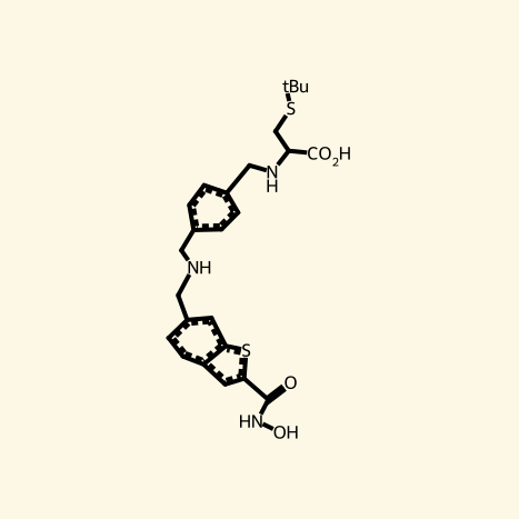 CC(C)(C)SCC(NCc1ccc(CNCc2ccc3cc(C(=O)NO)sc3c2)cc1)C(=O)O